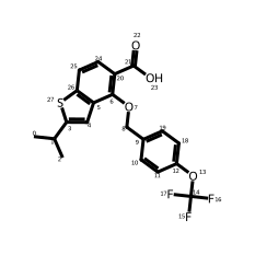 CC(C)c1cc2c(OCc3ccc(OC(F)(F)F)cc3)c(C(=O)O)ccc2s1